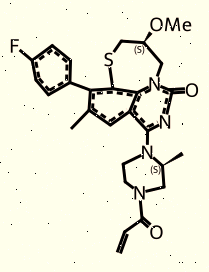 C=CC(=O)N1CCN(c2nc(=O)n3c4c(c(-c5ccc(F)cc5)c(C)cc24)SC[C@@H](OC)C3)[C@@H](C)C1